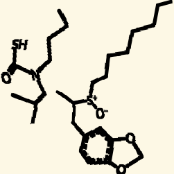 CCCCCCCC[S+]([O-])C(C)Cc1ccc2c(c1)OCO2.CCCCN(CC(C)C)C(=O)S